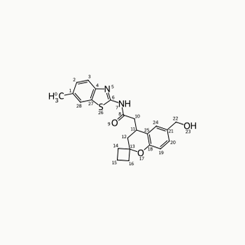 Cc1ccc2nc(NC(=O)CC3CC4(CCC4)Oc4ccc(CO)cc43)sc2c1